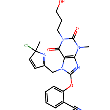 Cn1c(=O)n(CCCO)c(=O)c2c1nc(Oc1ccccc1C#N)n2CC1=NC(C)(Cl)C=C1